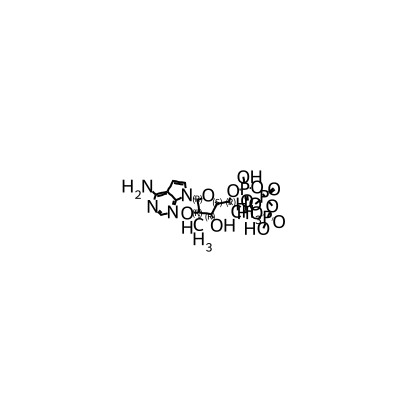 C[C@@H](OP(=O)(O)OP(=O)(O)OP(=O)(O)O)[C@H]1O[C@@H](n2ccc3c(N)ncnc32)[C@](C)(O)[C@@H]1O